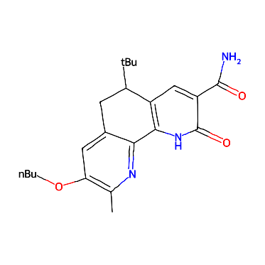 CCCCOc1cc2c(nc1C)-c1[nH]c(=O)c(C(N)=O)cc1C(C(C)(C)C)C2